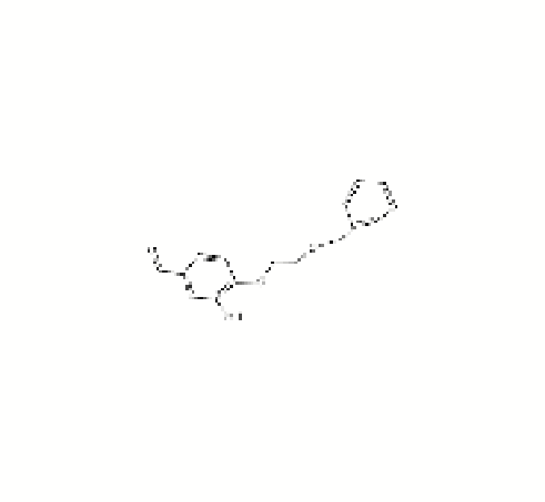 O=Cc1ccc(OCCOCc2ccccc2)c(O)c1